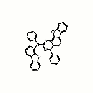 c1ccc(-c2nc(-n3c4ccccc4c4ccc5c6ccccc6oc5c43)nc3c2ccc2c4ccccc4oc23)cc1